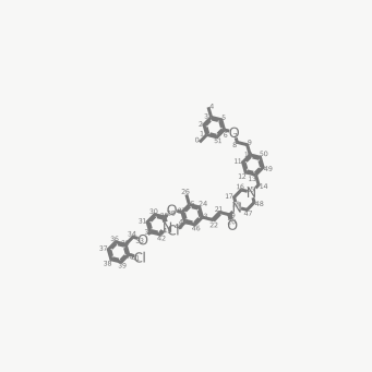 Cc1cc(C)cc(OCCc2ccc(CN3CCN(C(=O)C=Cc4cc(C)c(Oc5ccc(OCc6ccccc6Cl)cn5)c(Cl)c4)CC3)cc2)c1